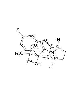 CC(C)(C)OC(=O)N1[C@H]2CC[C@@H]1[C@H](Oc1cc(F)ccc1C(=O)O)C2